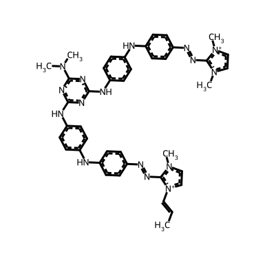 C/C=C/[n+]1ccn(C)c1/N=N/c1ccc(Nc2ccc(Nc3nc(Nc4ccc(Nc5ccc(/N=N/c6n(C)cc[n+]6C)cc5)cc4)nc(N(C)C)n3)cc2)cc1